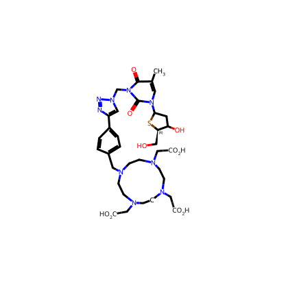 Cc1cn(C2CC(O)[C@@H](CO)S2)c(=O)n(Cn2cc(-c3ccc(CN4CCN(CC(=O)O)CCN(CC(=O)O)CCN(CC(=O)O)CC4)cc3)nn2)c1=O